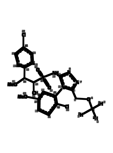 [2H]C([2H])([2H])OCc1nnc(NS(=O)(=O)C(C)C(OC)c2ncc(Cl)cn2)n1-c1cc(OC)ccc1Cl